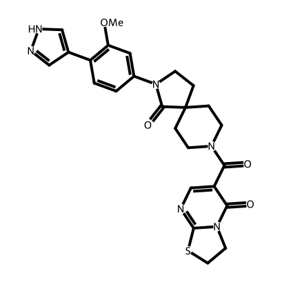 COc1cc(N2CCC3(CCN(C(=O)c4cnc5n(c4=O)CCS5)CC3)C2=O)ccc1-c1cn[nH]c1